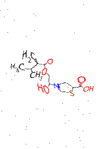 C=C(C(=O)OCC(O)N1CSC(C(=O)O)C1)C(C)C